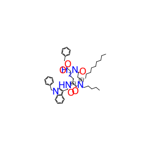 CCCCCCCCC[C@@H](CC(N)=O)N(CCCCC)C(=O)[C@H](CCCC(=O)OCc1ccccc1)NC(=O)c1cn(Cc2ccccc2)c2ccccc12